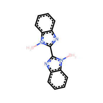 Bn1c(-c2nc3ccccc3n2B)nc2ccccc21